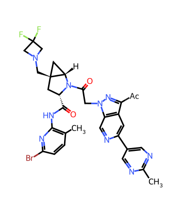 CC(=O)c1nn(CC(=O)N2[C@H]3C[C@@]3(CN3CC(F)(F)C3)C[C@H]2C(=O)Nc2nc(Br)ccc2C)c2cnc(-c3cnc(C)nc3)cc12